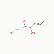 CC=CC(O)C(O)CNCC